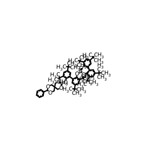 CC(C)(C)c1cc(-c2cc(C(C)(C)C)cc(C(C)(C)C)c2Op2oc3c(C(C)(C)C)cc(C(C)(C)C)cc3c3cc(C(C)(C)C)cc(C(C)(C)C)c3o2)c(OP2OCC3(COC(c4ccccc4)OC3)CO2)c(C(C)(C)C)c1